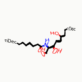 CCCCCCCCCCCCCCCCC(=O)NC(CO)C(O)/C=C/C(O)CCCCCCCCCCCC